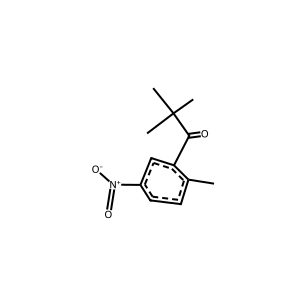 Cc1ccc([N+](=O)[O-])cc1C(=O)C(C)(C)C